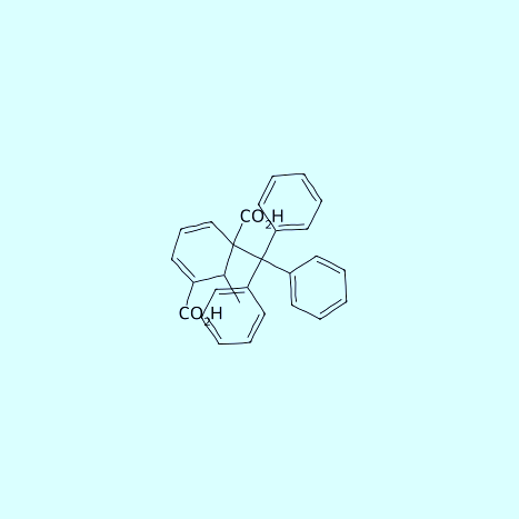 CC1C(C(=O)O)=CC=CC1(C(=O)O)C(c1ccccc1)(c1ccccc1)c1ccccc1